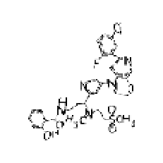 CN(CCS(C)(=O)=O)C(CCNC(=O)c1ccccc1O)c1cc(N2CCOc3cnc(-c4cc(Cl)ccc4F)cc32)ccn1